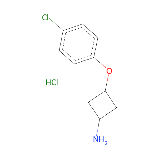 Cl.NC1CC(Oc2ccc(Cl)cc2)C1